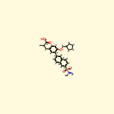 CC(Cc1ccc(OCC2CCCC2)c(-c2ccc3cc(S(=O)(=O)N(C)C)ccc3c2)c1)C(=O)O